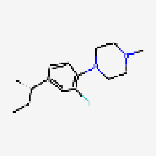 CC[C@H](C)c1ccc(N2CCN(C)CC2)c(F)c1